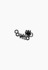 CC(=NOCc1c(C)cccc1-n1nnn(C)c1=O)c1ccc2c(c1)CCCC2